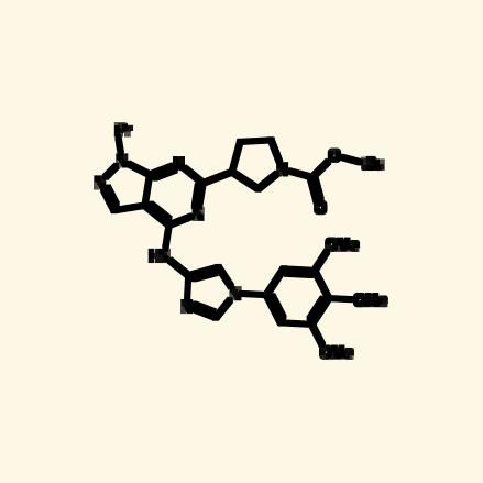 COc1cc(-n2cnc(Nc3nc(C4CCN(C(=O)OC(C)(C)C)C4)nc4c3cnn4C(C)C)c2)cc(OC)c1OC